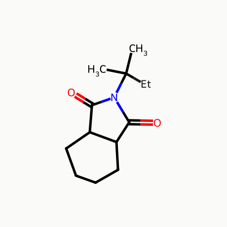 CCC(C)(C)N1C(=O)C2CCCCC2C1=O